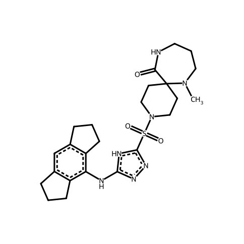 CN1CCCNC(=O)C12CCN(S(=O)(=O)c1nnc(Nc3c4c(cc5c3CCC5)CCC4)[nH]1)CC2